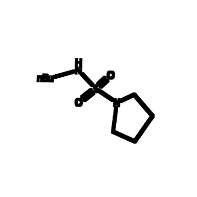 CCCCNS(=O)(=O)N1CCCC1